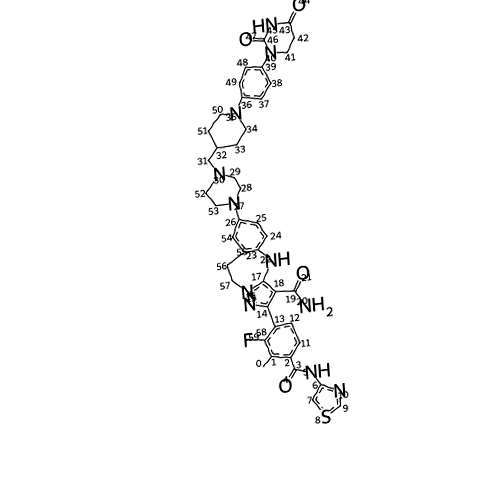 Cc1c(C(=O)Nc2cscn2)ccc(-c2nn3c(c2C(N)=O)Nc2ccc(N4CCN(CC5CCN(c6ccc(N7CCC(=O)NC7=O)cc6)CC5)CC4)cc2CC3)c1F